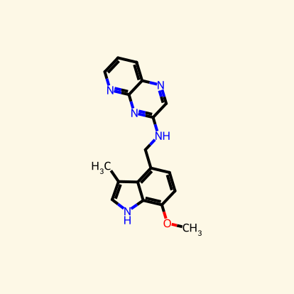 COc1ccc(CNc2cnc3cccnc3n2)c2c(C)c[nH]c12